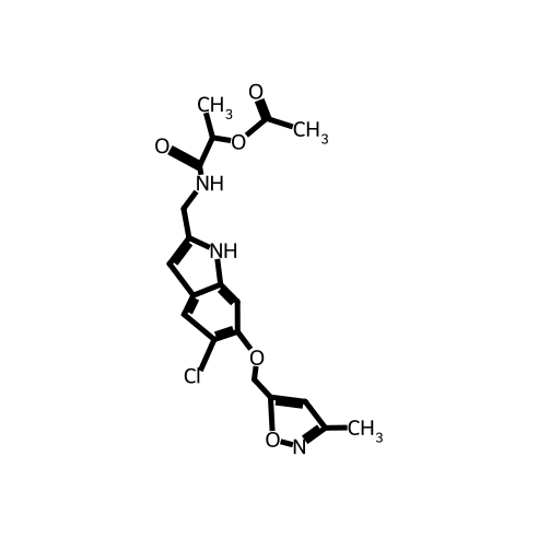 CC(=O)OC(C)C(=O)NCc1cc2cc(Cl)c(OCc3cc(C)no3)cc2[nH]1